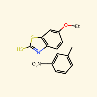 CCOc1ccc2nc(S)sc2c1.Cc1cccc([N+](=O)[O-])c1